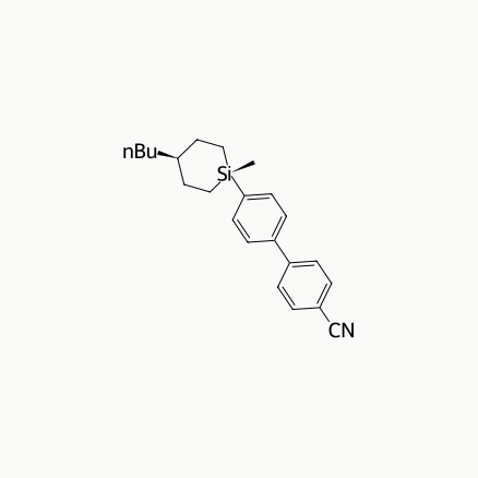 CCCC[C@H]1CC[Si@](C)(c2ccc(-c3ccc(C#N)cc3)cc2)CC1